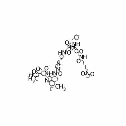 CC[C@@]1(O)C(=O)OCc2c1cc1n(c2=O)Cc2c-1nc1cc(F)c(C)c3c1c2[C@@H](NC(=O)N1CCN(CCOCNC(=O)CNC(=O)[C@H](Cc2ccccc2)NC(=O)COC(=O)CNC(=O)CCCCCN2C(=O)C=CC2=O)CC1)CC3